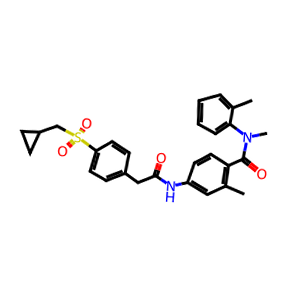 Cc1cc(NC(=O)Cc2ccc(S(=O)(=O)CC3CC3)cc2)ccc1C(=O)N(C)c1ccccc1C